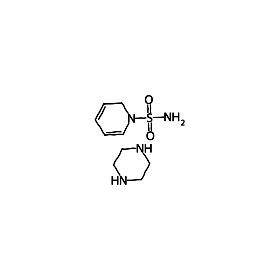 C1CNCCN1.NS(=O)(=O)N1C=CC=CC1